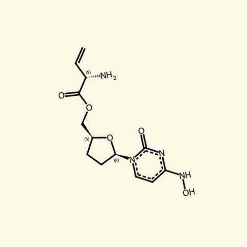 C=C[C@H](N)C(=O)OC[C@@H]1CC[C@H](n2ccc(NO)nc2=O)O1